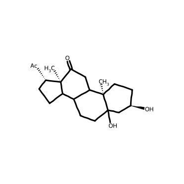 CC(=O)[C@H]1CCC2C3CCC4(O)C[C@H](O)CC[C@]4(C)C3CC(=O)[C@@]21C